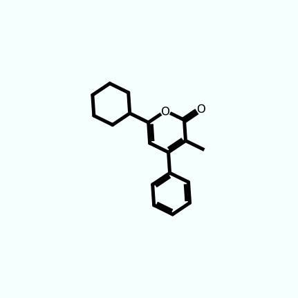 Cc1c(-c2ccccc2)cc(C2CCCCC2)oc1=O